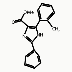 COC(=O)c1nc(-c2ccccc2)[nH]c1-c1ccccc1C